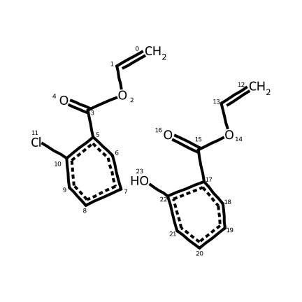 C=COC(=O)c1ccccc1Cl.C=COC(=O)c1ccccc1O